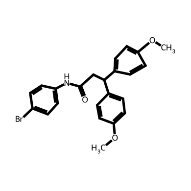 COc1ccc(C(CC(=O)Nc2ccc(Br)cc2)c2ccc(OC)cc2)cc1